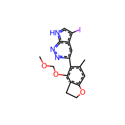 COCOc1c2c(cc(C)c1-c1cc3c(I)c[nH]c3nn1)OCC2